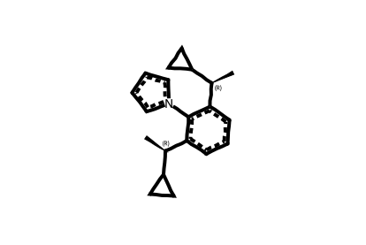 C[C@@H](c1cccc([C@H](C)C2CC2)c1-n1cccc1)C1CC1